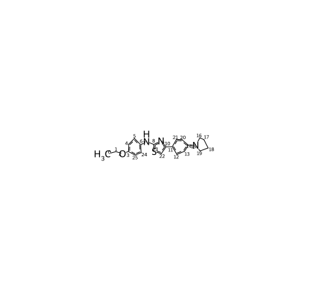 CCOc1ccc(Nc2nc(-c3ccc(N4CCCC4)cc3)cs2)cc1